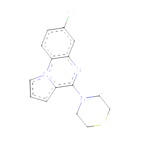 Clc1ccc2c(c1)nc(N1CCSCC1)c1cccn12